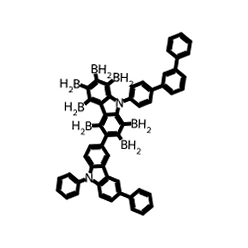 Bc1c(B)c(B)c2c(c1B)c1c(B)c(-c3ccc4c(c3)c3cc(-c5ccccc5)ccc3n4-c3ccccc3)c(B)c(B)c1n2-c1ccc(-c2cccc(-c3ccccc3)c2)cc1